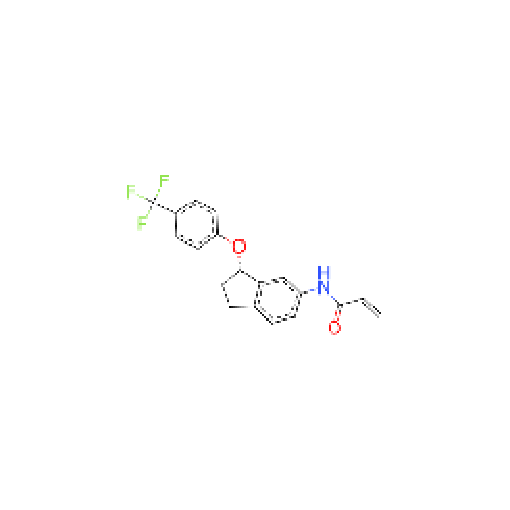 C=CC(=O)Nc1ccc2c(c1)[C@@H](Oc1ccc(C(F)(F)F)cc1)CC2